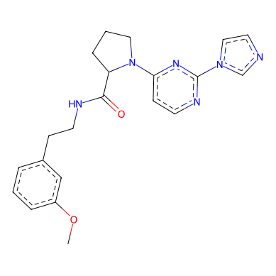 COc1cccc(CCNC(=O)C2CCCN2c2ccnc(-n3ccnc3)n2)c1